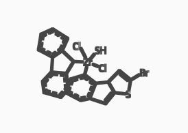 [SH][Zr]([Cl])([Cl])([c]1cccc2c1C1C=C(Br)SC1=C2)[CH]1c2ccccc2-c2ccccc21